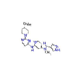 COC1CCN(c2nccc(Nc3cc4c(cn3)nc(-c3cn[nH]c3)n4C)n2)CC1